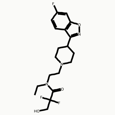 CCN(CCN1CCC(c2noc3cc(F)ccc23)CC1)C(=O)C(F)(F)CO